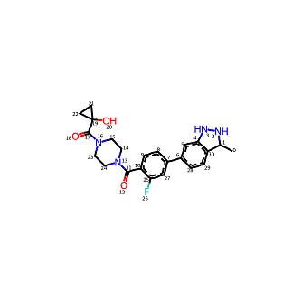 CC1NNc2cc(-c3ccc(C(=O)N4CCN(C(=O)C5(O)CC5)CC4)c(F)c3)ccc21